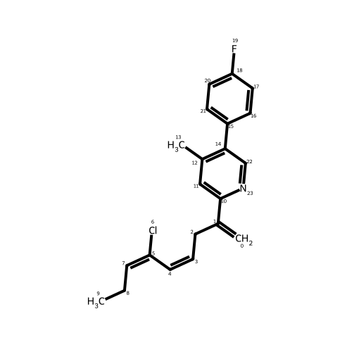 C=C(C/C=C\C(Cl)=C/CC)c1cc(C)c(-c2ccc(F)cc2)cn1